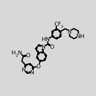 NC(=O)Cc1cc(Oc2ccc3c(ccn3C(=O)Nc3ccc(CN4CCNCC4)c(C(F)(F)F)c3)c2)ncn1